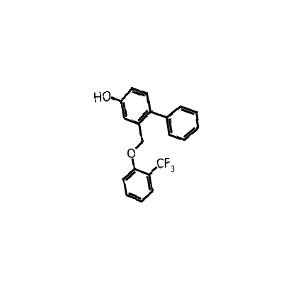 Oc1ccc(-c2ccccc2)c(COc2ccccc2C(F)(F)F)c1